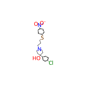 O=[N+]([O-])c1ccc(SCCCN2CCC(O)(c3ccc(Cl)cc3)CC2)cc1